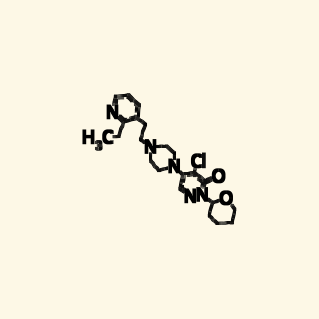 CCc1ncccc1CCN1CCN(c2cnn(C3CCCCO3)c(=O)c2Cl)CC1